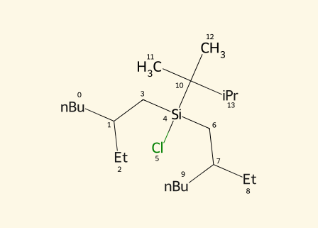 CCCCC(CC)C[Si](Cl)(CC(CC)CCCC)C(C)(C)C(C)C